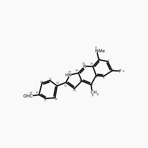 CNc1cc(F)cc2c(C)c3cc(-c4ccc(C=O)cc4)[nH]c3nc12